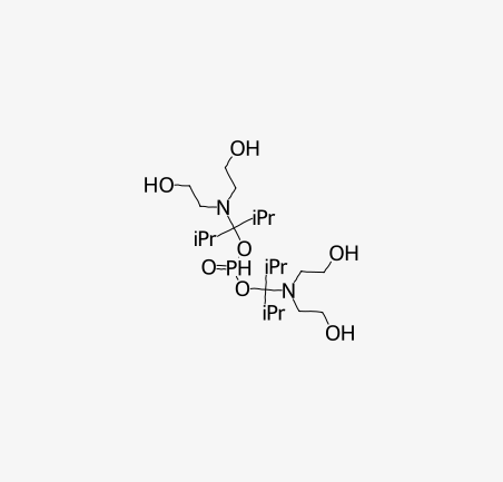 CC(C)C(O[PH](=O)OC(C(C)C)(C(C)C)N(CCO)CCO)(C(C)C)N(CCO)CCO